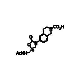 CC(=O)NC[C@H]1CN(c2ccc3c(c2)CCN(C(=O)O)C3)C(=O)O1